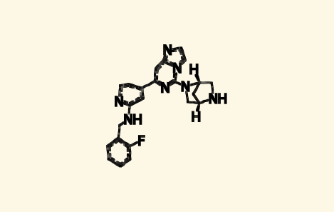 Fc1ccccc1CNc1cc(-c2cc3nccn3c(N3C[C@@H]4C[C@H]3CN4)n2)ccn1